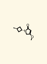 COC1=CC(=O)N([C@H]2C[C@H](C)C2)C1